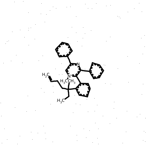 C=CCCC(C)(CC)c1ccccc1-c1c(-c2ccccc2)nc(-c2ccccc2)c[n+]1C